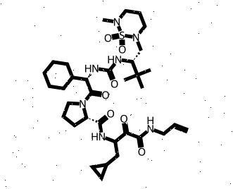 C=CCNC(=O)C(=O)C(CC1CC1)NC(=O)[C@@H]1CCCN1C(=O)[C@@H](NC(=O)N[C@H](CN1CCCN(C)S1(=O)=O)C(C)(C)C)C1CCCCC1